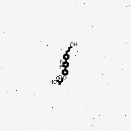 C=C(CC(=O)Oc1ccc(-c2ccc(-c3ccc(CCCCO)cc3)c(F)c2F)cc1)C(=O)O